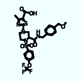 COCc1ccc(CNC(=O)C2CN(c3nc(C)c(C(=O)O)s3)CCN2S(=O)(=O)c2ccc(OC(F)(F)F)cc2)cc1